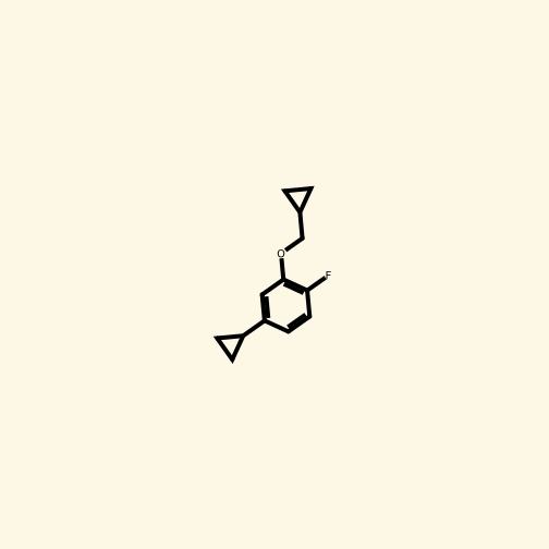 Fc1ccc(C2CC2)cc1OCC1CC1